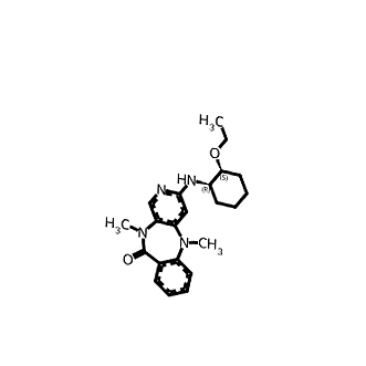 CCO[C@H]1CCCC[C@H]1Nc1cc2c(cn1)N(C)C(=O)c1ccccc1N2C